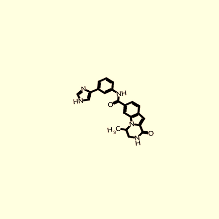 CC1CNC(=O)c2cc3ccc(C(=O)Nc4cccc(-c5c[nH]cn5)c4)cc3n21